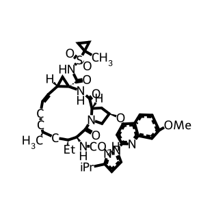 CC[C@@H]1C[C@H](C)CCC=C[C@@H]2C[C@@]2(C(=O)NS(=O)(=O)C2(C)CC2)NC(=O)[C@@H]2C[C@@H](Oc3cc(-n4ccc(C(C)C)n4)nc4cc(OC)ccc34)CN2C(=O)[C@H]1NC(=O)O